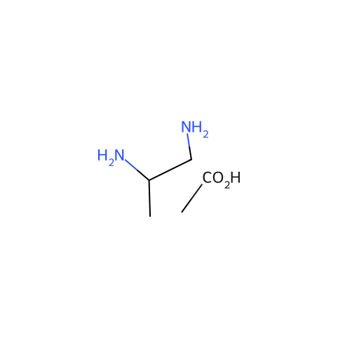 CC(=O)O.CC(N)CN